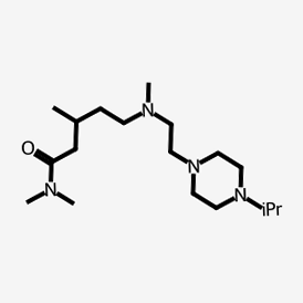 CC(CCN(C)CCN1CCN(C(C)C)CC1)CC(=O)N(C)C